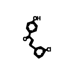 O=C(/C=C/c1cccc(Cl)c1)c1ccc(O)cc1